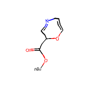 CCCCOC(=O)C1C=NC=CO1